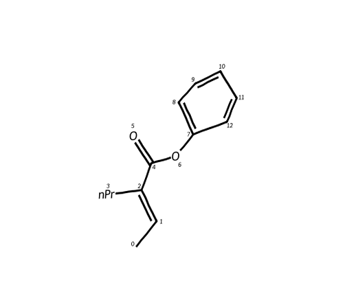 CC=C(CCC)C(=O)Oc1ccccc1